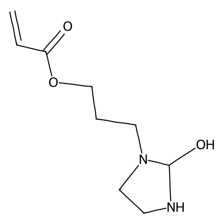 C=CC(=O)OCCCN1CCNC1O